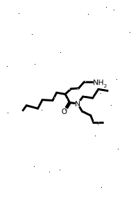 CCCCCCC(CCCN)C(=O)N(CCCC)CCCC